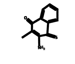 CC1=C(N)C(=S)c2ccccc2C1=O